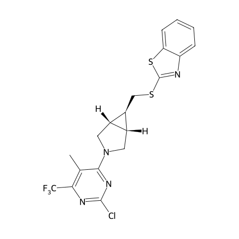 Cc1c(N2C[C@@H]3[C@@H](CSc4nc5ccccc5s4)[C@@H]3C2)nc(Cl)nc1C(F)(F)F